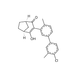 Cc1cc(-c2ccc(C)c(C3=C(O)[C@H]4CC[C@H](C4)C3=O)c2)ccc1Cl